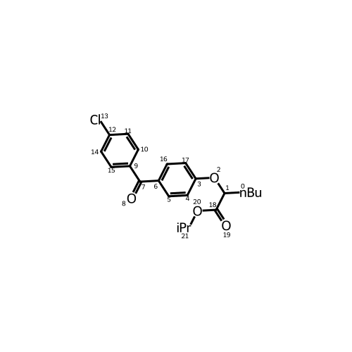 CCCCC(Oc1ccc(C(=O)c2ccc(Cl)cc2)cc1)C(=O)OC(C)C